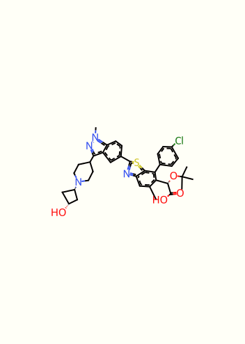 Cc1cc2nc(-c3ccc4c(c3)c(C3CCN([C@H]5C[C@@H](O)C5)CC3)nn4C)sc2c(-c2ccc(Cl)cc2)c1[C@H](OC(C)(C)C)C(=O)O